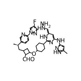 Cc1cc(NC2=C/C(=C/NN)NC(C3CCC(OC4CC(C[C@@H](C)c5ccc(-n6cc(F)cn6)nc5)C4C=O)CC3)=N2)n[nH]1